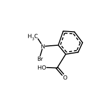 CN(Br)c1ccccc1C(=O)O